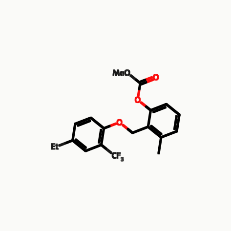 CCc1ccc(OCc2c(C)cccc2OC(=O)OC)c(C(F)(F)F)c1